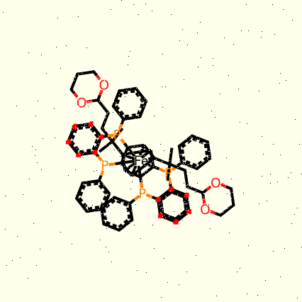 CC(C)(CCC1OCCCO1)[C]12[CH]3[C]4(P(c5ccccc5)c5ccccc5)[C]5(P(c6ccccc6)c6ccccc6)[CH]1[Fe]32451678[CH]2[C]1(C(C)(C)CCC1OCCCO1)[CH]6[C]7(P(c1ccccc1)c1ccccc1)[C]28P(c1ccccc1)c1ccccc1